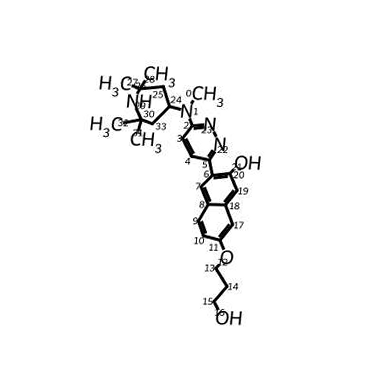 CN(c1ccc(-c2cc3ccc(OCCCO)cc3cc2O)nn1)C1CC(C)(C)NC(C)(C)C1